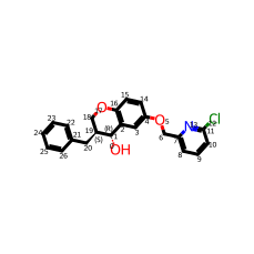 O[C@H]1c2cc(OCc3cccc(Cl)n3)ccc2OC[C@@H]1Cc1ccccc1